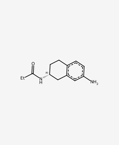 CCC(=O)N[C@@H]1CCc2ccc(N)cc2C1